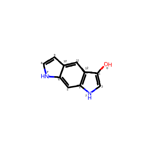 Oc1c[nH]c2cc3[nH]ccc3cc12